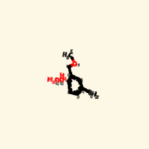 Bc1cccc(COC)c1.O.O